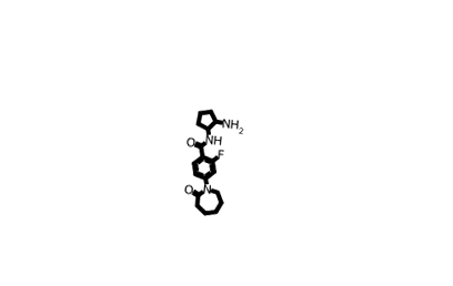 NC1CCCC1NC(=O)c1ccc(N2CCCCCC2=O)cc1F